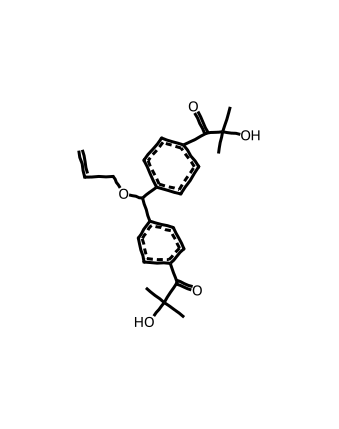 C=CCOC(c1ccc(C(=O)C(C)(C)O)cc1)c1ccc(C(=O)C(C)(C)O)cc1